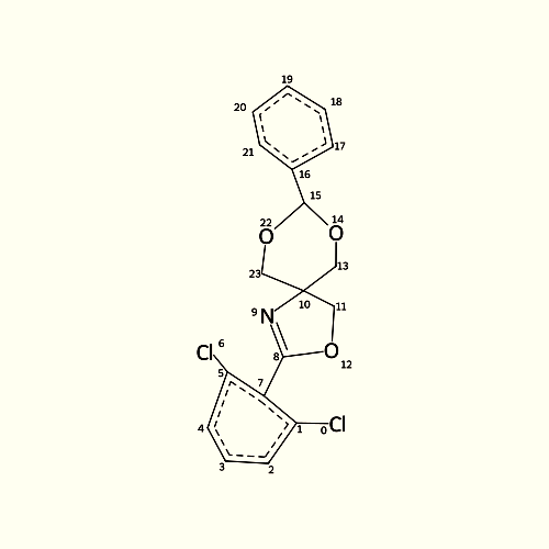 Clc1cccc(Cl)c1C1=NC2(CO1)COC(c1ccccc1)OC2